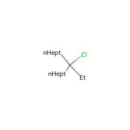 CCCCCCCC(Cl)(CC)CCCCCCC